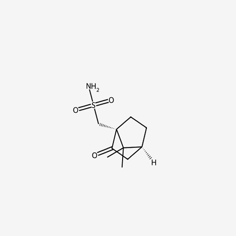 CC1(C)[C@H]2CC[C@]1(CS(N)(=O)=O)C(=O)C2